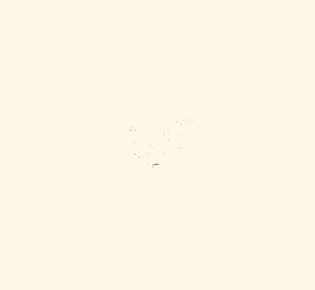 CNc1cc(C)ccc1Nc1nc(Nc2cncc(C)c2C)ncc1Cl